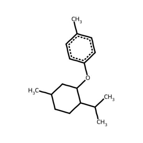 Cc1ccc(OC2CC(C)CCC2C(C)C)cc1